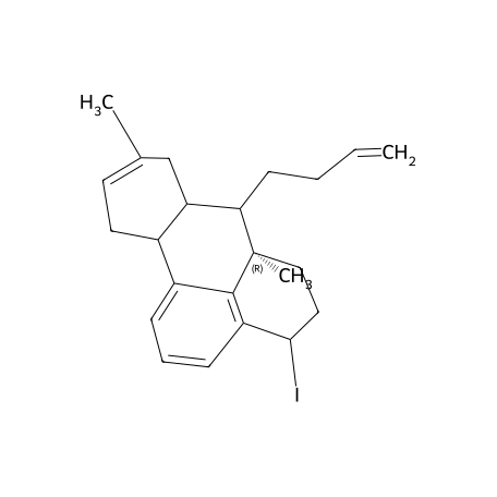 C=CCCC1C2CC(C)=CCC2c2cccc3c2[C@]1(C)CCC3I